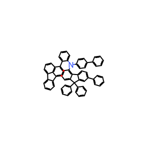 c1ccc(-c2ccc(N(c3ccccc3-c3ccc4c5c(cccc35)-c3ccccc3-4)c3cccc4c3-c3ccc(-c5ccccc5)cc3C4(c3ccccc3)c3ccccc3)cc2)cc1